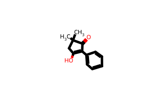 CC1(C)CC(O)=C(c2ccccc2)C1=O